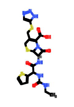 CCNC(=O)NC(C(=O)N[C@H]1C(=O)N2C(C(=O)O)=C(CSc3cnn[nH]3)CSC12)c1cccs1